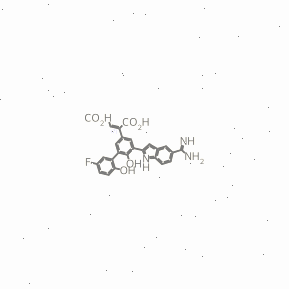 N=C(N)c1ccc2[nH]c(-c3cc(/C(=C/C(=O)O)C(=O)O)cc(-c4cc(F)ccc4O)c3O)cc2c1